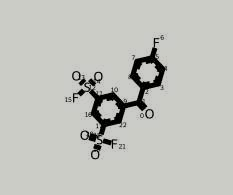 O=C(c1ccc(F)cc1)c1cc(S(=O)(=O)F)cc(S(=O)(=O)F)c1